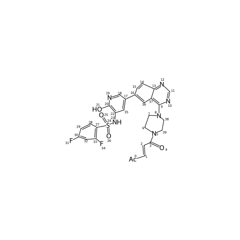 CC(=O)/C=C/C(=O)N1CCN(c2ncnc3ccc(-c4cnc(O)c(NS(=O)(=O)c5ccc(F)cc5F)c4)cc23)CC1